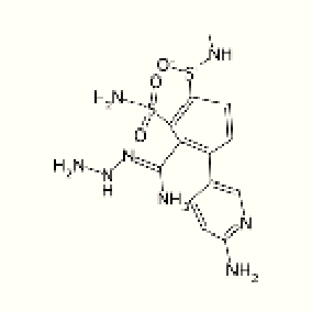 CN[S+]([O-])c1ccc(-c2ccc(N)nc2)c(/C(N)=N/NN)c1S(N)(=O)=O